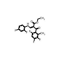 CCOC(=O)C(=CNc1ccc(F)cc1F)C(=O)c1c(F)cc(F)c(F)c1C